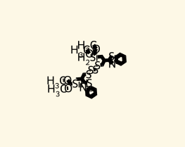 COC(OC)[SiH2]CC(CSSSSCC(C[SiH2]C(OC)OC)c1nc2ccccc2s1)c1nc2ccccc2s1